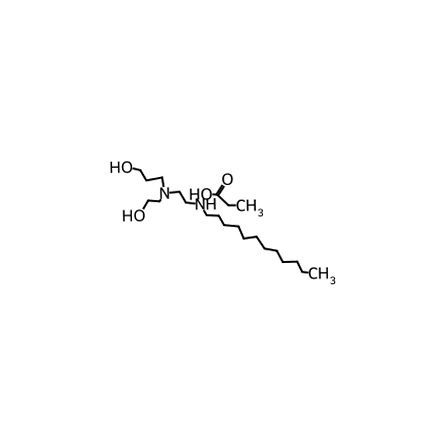 CCC(=O)O.CCCCCCCCCCCCNCCN(CCO)CCCO